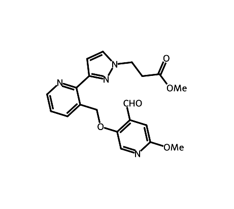 COC(=O)CCn1ccc(-c2ncccc2COc2cnc(OC)cc2C=O)n1